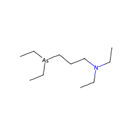 CCN(CC)CCC[As](CC)CC